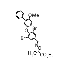 CCOC(=O)C(C)ON=Cc1cc(Br)c(Oc2ccc(OC)c(-c3ccccc3)c2)c(Br)c1